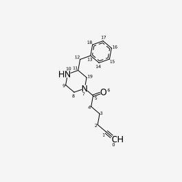 C#CCCCC(=O)N1CCNC(Cc2ccccc2)C1